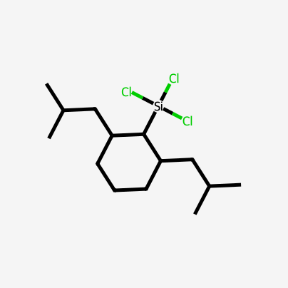 CC(C)CC1CCCC(CC(C)C)C1[Si](Cl)(Cl)Cl